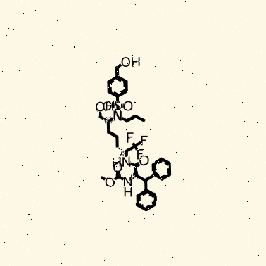 CCCN([C@H](CO)CCC[C@@H](NC(=O)[C@@H](NC(=O)OC)C(c1ccccc1)c1ccccc1)C(F)(F)F)S(=O)(=O)c1ccc(CO)cc1